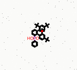 CC(C)(C)c1ccc(-c2cccc(P(=O)(O)c3ccccc3)c2-c2ccc(C(C)(C)C)cc2C(C)(C)C)c(C(C)(C)C)c1